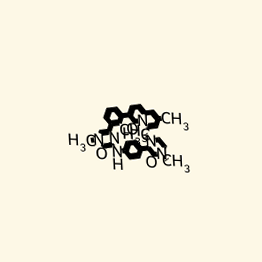 Cc1ccn2c(=O)c(-c3cccc(-c4cn(C)c(=O)c(Nc5ccc(C6C(=O)N(C)CCN6C)cc5)n4)c3C)ccc2c1